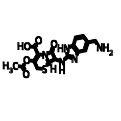 CC(=O)OC1=C(C(=O)O)N2C(=O)C(Nc3nc4cc(CN)ccc4[nH]3)[C@H]2SC1